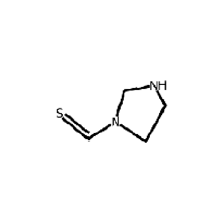 S=[C]N1CCNC1